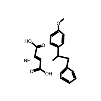 COc1ccc(C(C)Cc2ccccc2)cc1.N.O=C(O)C=CC(=O)O